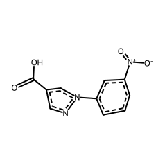 O=C(O)c1cnn(-c2cccc([N+](=O)[O-])c2)c1